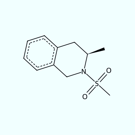 C[C@@H]1Cc2ccccc2CN1S(C)(=O)=O